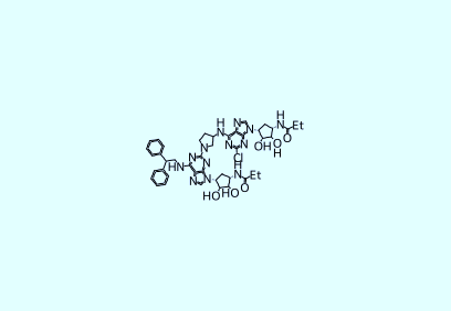 CCC(=O)N[C@H]1C[C@@H](n2cnc3c(NCC(c4ccccc4)c4ccccc4)nc(N4CCC(Nc5nc(Cl)nc6c5ncn6[C@@H]5C[C@H](NC(=O)CC)[C@@H](O)[C@H]5O)C4)nc32)[C@H](O)[C@@H]1O